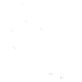 CC(C)NC(=O)C1CCc2[nH]c3ncnc(Nc4cc(Cl)ccc4OC(C)C)c3c2C1